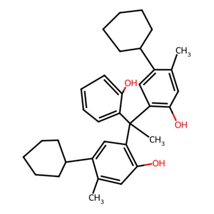 Cc1cc(O)c(C(C)(c2ccccc2O)c2cc(C3CCCCC3)c(C)cc2O)cc1C1CCCCC1